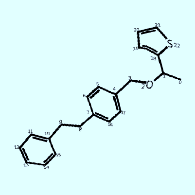 CC(OCc1ccc(CCc2ccccc2)cc1)c1cccs1